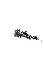 CCOn1cc(OCc2ccc(OC)cc2)c(=O)cc1CO/N=C(\C(=O)O)c1csc(NC(c2ccccc2)(c2ccccc2)c2ccccc2)n1